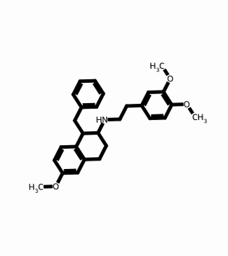 COc1ccc2c(c1)CCC(NCCc1ccc(OC)c(OC)c1)C2Cc1ccccc1